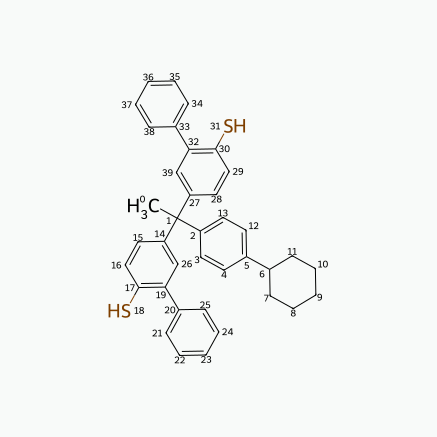 CC(c1ccc(C2CCCCC2)cc1)(c1ccc(S)c(-c2ccccc2)c1)c1ccc(S)c(-c2ccccc2)c1